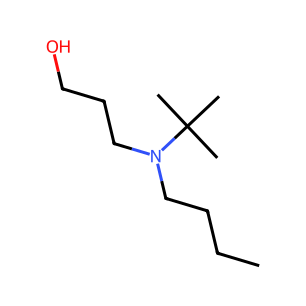 CCCCN(CCCO)C(C)(C)C